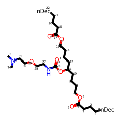 CCCCCCCCCCCCCC(=O)OCCCCC(CCCCOC(=O)CCCCCCCCCCCCC)OC(=O)NCCOCCN(C)C